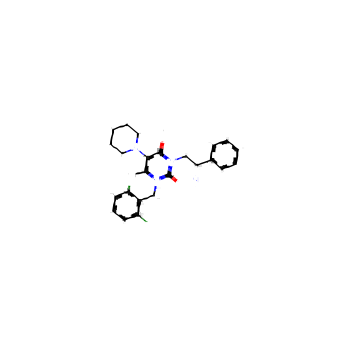 Cc1c(N2CCCCC2)c(=O)n(C[C@@H](N)c2ccccc2)c(=O)n1Cc1c(F)cccc1F